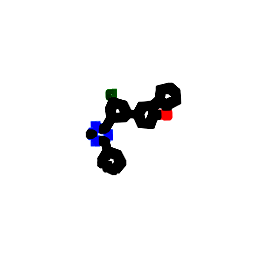 Clc1cc(-c2ccc3oc4ccccc4c3c2)cc(-c2ncnc(-c3ccccc3)n2)c1